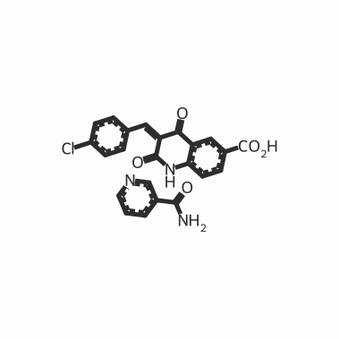 NC(=O)c1cccnc1.O=C1Nc2ccc(C(=O)O)cc2C(=O)/C1=C/c1ccc(Cl)cc1